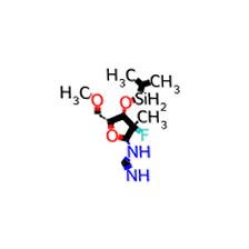 COC[C@H]1O[C@@H](NC=N)[C@](C)(F)[C@@H]1O[SiH2]C(C)C